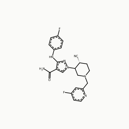 N#C[C@@H]1CCN(Cc2cc(F)ccn2)CC1n1cc(C(N)=O)c(Nc2ccc(F)cc2)n1